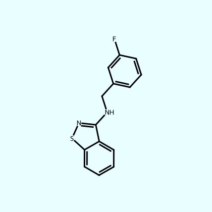 Fc1cccc(CNc2nsc3ccccc23)c1